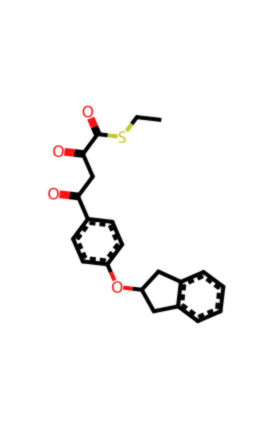 CCSC(=O)C(=O)CC(=O)c1ccc(OC2Cc3ccccc3C2)cc1